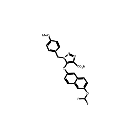 COc1ccc(Cn2nnc(C(=O)O)c2Oc2ccc3cc(OC(F)F)ccc3c2)cc1